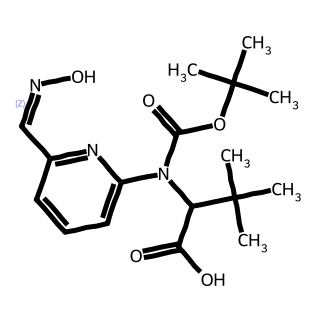 CC(C)(C)OC(=O)N(c1cccc(/C=N\O)n1)C(C(=O)O)C(C)(C)C